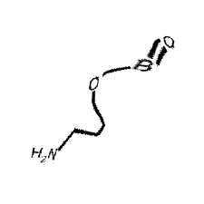 NCOB=O